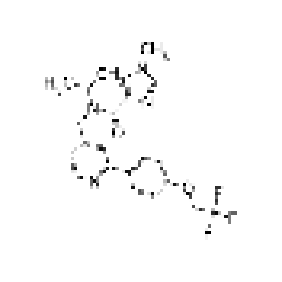 CC(C)N(Cc1ccnc(-c2ccc(OCC(F)(F)F)cc2)c1)C(=O)c1cn(C)cn1